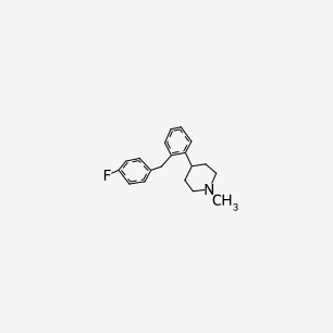 CN1CCC(c2ccccc2Cc2ccc(F)cc2)CC1